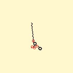 CCCCCCCCCCCCCCOc1ccc(OCc2ccccc2)c(C(=O)OC)c1